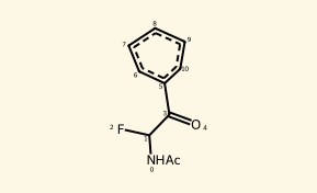 CC(=O)NC(F)C(=O)c1ccccc1